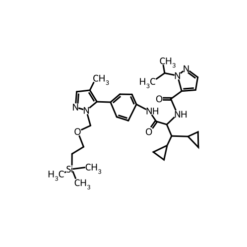 Cc1cnn(COCC[Si](C)(C)C)c1-c1ccc(NC(=O)C(NC(=O)c2ccnn2C(C)C)C(C2CC2)C2CC2)cc1